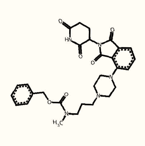 CN(CCCN1CCN(c2cccc3c2C(=O)N(C2CCC(=O)NC2=O)C3=O)CC1)C(=O)OCc1ccccc1